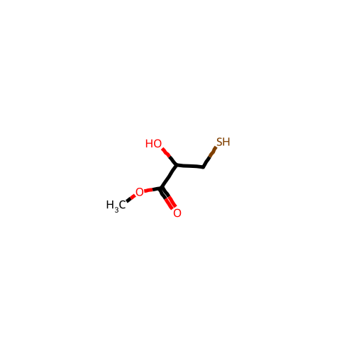 COC(=O)C(O)CS